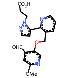 COc1cc(C=O)c(OCc2cccnc2-c2ccnn2CCC(=O)O)cn1